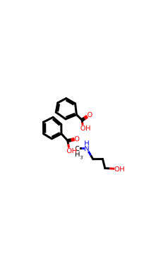 CNCCCO.O=C(O)c1ccccc1.O=C(O)c1ccccc1